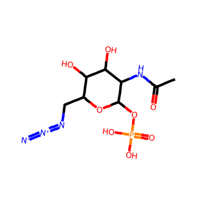 CC(=O)NC1C(OP(=O)(O)O)OC(CN=[N+]=[N-])C(O)C1O